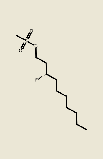 CCCCCCC[C@H](F)CCOS(C)(=O)=O